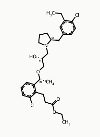 CCOC(=O)CCc1c(Cl)cccc1[C@@H](C)OC[C@H](O)CN1CCC[C@H]1Cc1ccc(Cl)c(CC)c1